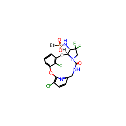 CCS(=O)(=O)N[C@@H]1[C@@H]2Cc3cccc(c3F)Oc3nc(ccc3Cl)CNC(=O)N2CC1(F)F